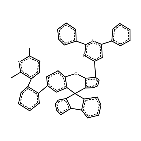 Cc1ccc(-c2ccccc2-c2ccc3c(c2)C2(c4ccccc4-c4ccccc42)c2cccc(-c4cc(-c5ccccc5)nc(-c5ccccc5)n4)c2O3)c(C)n1